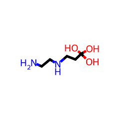 NCCNCCC(O)(O)O